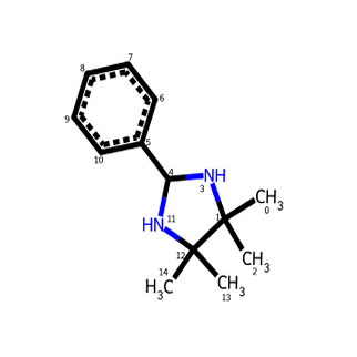 CC1(C)NC(c2ccccc2)NC1(C)C